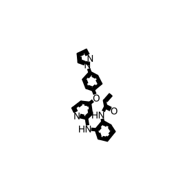 C=CC(=O)Nc1ccccc1Nc1cc(Oc2ccc(-n3cccn3)cc2)ccn1